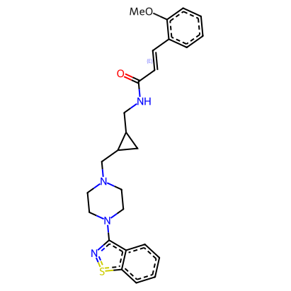 COc1ccccc1/C=C/C(=O)NCC1CC1CN1CCN(c2nsc3ccccc23)CC1